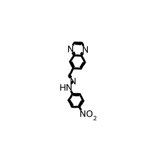 O=[N+]([O-])c1ccc(N/N=C/c2ccc3nccnc3c2)cc1